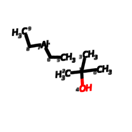 CC(C)(C)O.C[CH2][Al][CH2]C